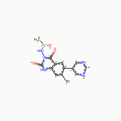 CC(C)c1cc2[nH]c(=O)n(N[S+](C)[O-])c(=O)c2cc1-c1cncnc1